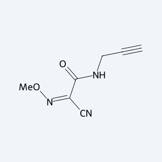 C#CCNC(=O)/C(C#N)=N\OC